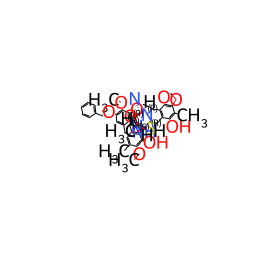 COc1cc2c(cc1OCc1ccccc1)CCN[C@]21CS[C@@H]2c3c(O)c(C)c4c(c3[C@H](COC1=O)N1C2[C@@H]2c3c(cc(C)c(OC)c3O)C[C@H]([C@@H]1C#N)N2C)OCO4